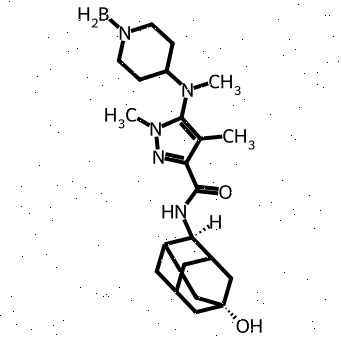 BN1CCC(N(C)c2c(C)c(C(=O)N[C@H]3C4CC5CC3C[C@](O)(C5)C4)nn2C)CC1